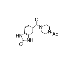 CC(=O)N1CCN(C(=O)c2ccc3[nH]c(=O)[nH]c3c2)CC1